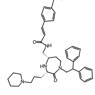 O=C(/C=C/c1ccc(CI)cc1)NC[C@@H]1CCN(CC(c2ccccc2)c2ccccc2)C(=O)[C@H](CCCN2CCCCC2)N1